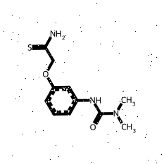 CN(C)C(=O)Nc1cccc(OCC(N)=S)c1